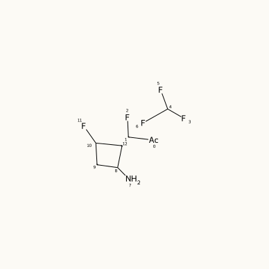 CC(=O)CF.FC(F)F.NC1CC(F)C1